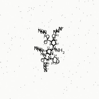 [N-]=[N+]=NCOC(=O)c1cc(N(N)c2ccc3c(n2)N(C2CCOCC2)[C@H](CN=[N+]=[N-])C(=O)N3CN=[N+]=[N-])ccc1OCN=[N+]=[N-]